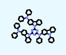 c1ccc(N(c2ccccc2)c2ccc3c(c2)c2ccccc2n3-c2nc(N(c3ccccc3)c3ccc4c5ccccc5n(-c5ccccc5)c4c3)nc(-n3c4ccccc4c4cc(N(c5ccccc5)c5ccccc5)ccc43)n2)cc1